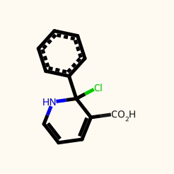 O=C(O)C1=CC=CNC1(Cl)c1ccccc1